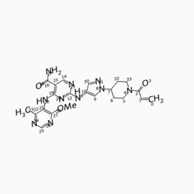 C=CC(=O)N1CCC(n2cc(Nc3ncc(C(N)=O)c(Nc4c(C)ncnc4OC)n3)cn2)CC1